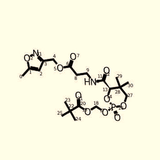 Cc1cc(COC(=O)CCNC(=O)[C@@H]2O[P@](=O)(OCOC(=O)C(C)(C)C)OCC2(C)C)no1